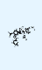 Cc1nc(C(C)(C)NC(=O)c2ccc(C3CC3)c(OCc3ccccn3)n2)no1